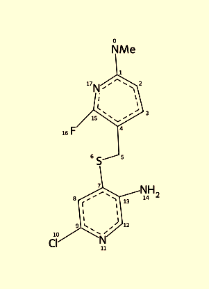 CNc1ccc(CSc2cc(Cl)ncc2N)c(F)n1